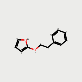 c1ccc(CCOc2ccco2)cc1